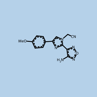 COc1ccc(-c2cn(CC#N)c(-c3nonc3N)n2)cc1